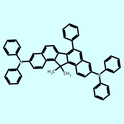 CC1(C)c2c(ccc3cc(N(c4ccccc4)c4ccccc4)ccc23)-c2c(-c3ccccc3)cc3cc(N(c4ccccc4)c4ccccc4)ccc3c21